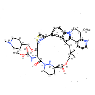 CCn1c(-c2cccnc2[C@H](C)OC)c2c3cc(ccc31)-c1csc(n1)[C@@H](OCC1CCN(C)CC1)[C@H](NC(=O)OC(C)(C)C)C(=O)N1CCC[C@H](N1)C(=O)OCC(C)(C)C2